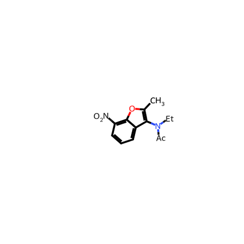 CCN(C(C)=O)c1c(C)oc2c([N+](=O)[O-])cccc12